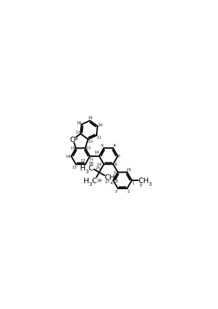 Cc1cccc(-c2cccc(-c3cccc4oc5ccccc5c34)c2C(C)(C)C)c1